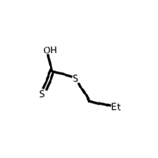 CCCSC(O)=S